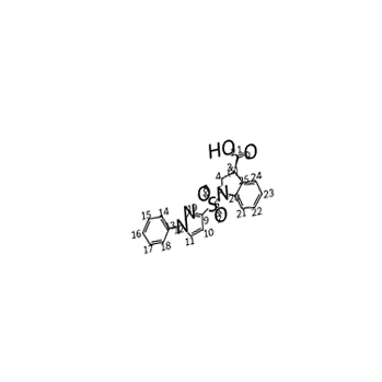 O=C(O)[C@@H]1CN(S(=O)(=O)c2ccn(-c3ccccc3)n2)c2ccccc21